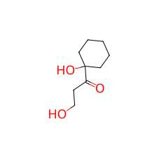 O=C(CCO)C1(O)CCCCC1